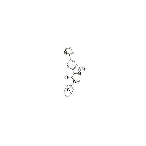 CN1C2CCC1CC(NC(=O)c1n[nH]c3cc(-c4nccs4)ccc13)C2